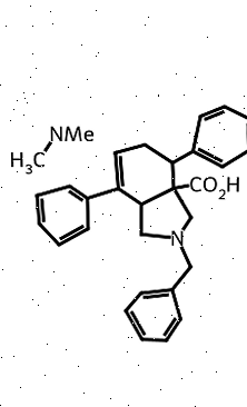 CNC.O=C(O)C12CN(Cc3ccccc3)CC1C(c1ccccc1)=CCC2c1ccccc1